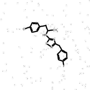 CC(Cc1ccc(Cl)cc1)Nc1nc(Cc2ccc(F)cc2)ns1